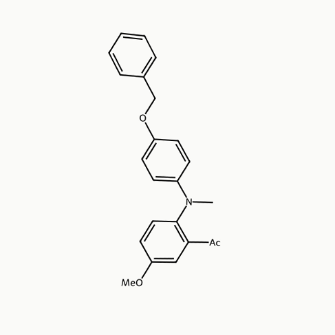 COc1ccc(N(C)c2ccc(OCc3ccccc3)cc2)c(C(C)=O)c1